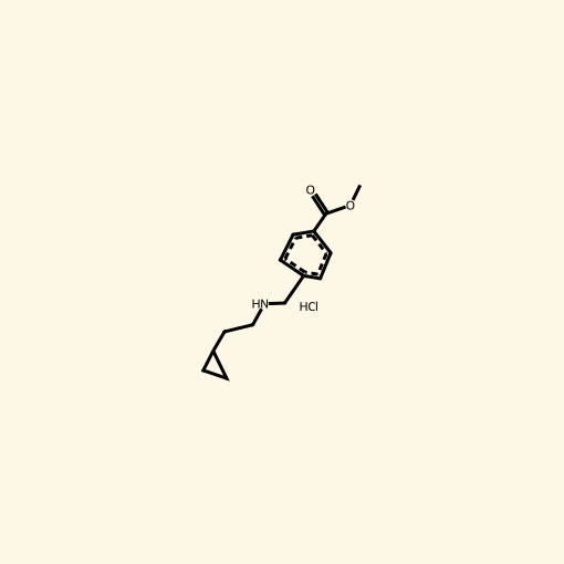 COC(=O)c1ccc(CNCCC2CC2)cc1.Cl